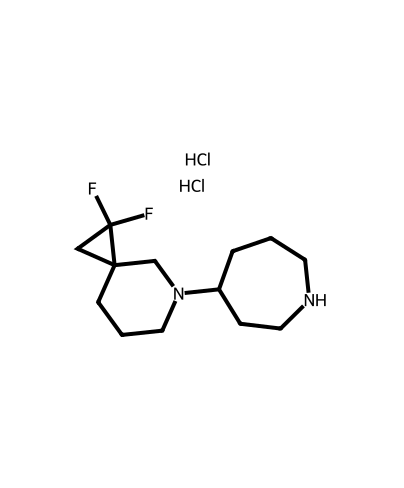 Cl.Cl.FC1(F)CC12CCCN(C1CCCNCC1)C2